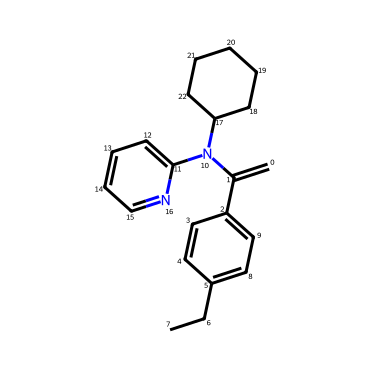 C=C(c1ccc(CC)cc1)N(c1ccccn1)C1CCCCC1